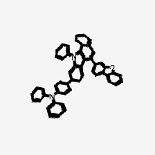 c1ccc(N(c2ccccc2)c2ccc(-c3ccc4c5c(-c6ccc7c(c6)oc6ccccc67)cc6ccccc6c5n(-c5ccccc5)c4c3)cc2)cc1